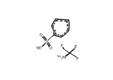 NC(F)(F)F.O=S(=O)(O)c1ccccc1